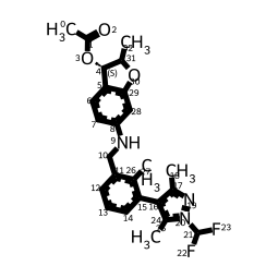 CC(=O)O[C@H]1c2ccc(NCc3cccc(-c4c(C)nn(C(F)F)c4C)c3C)cc2OC1C